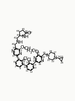 COc1nc(-c2cccc(-c3cccc(-c4cnc(CN5CCN(C6CC6)CC5)c(OC)n4)c3Cl)c2Cl)cnc1CNCC1CCC(=O)N1